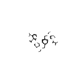 CCN(Cc1ccc(CN(CC)[C@@H]2CCN(c3nccc(C(C)C)c3C(=O)O)C2)cc1)[C@@H]1CCN(C(=O)C(C)C)C1